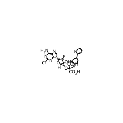 Nc1nc(Cl)nc2c1ncn2[C@@H]1O[C@@H]2C(OC(Cc3ccc(-c4ccccn4)cc3)(C(=O)O)C(=O)O)[C@]2(O)[C@@H]1F